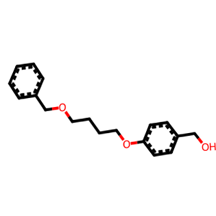 OCc1ccc(OCCCCOCc2ccccc2)cc1